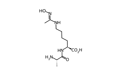 C/C(=N\O)NCCCC[C@H](NC(=O)[C@H](C)N)C(=O)O